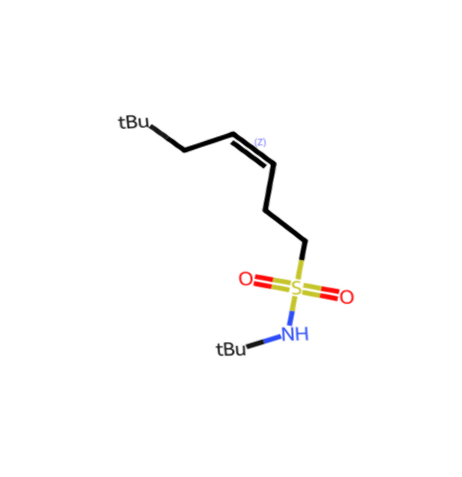 CC(C)(C)C/C=C\CCS(=O)(=O)NC(C)(C)C